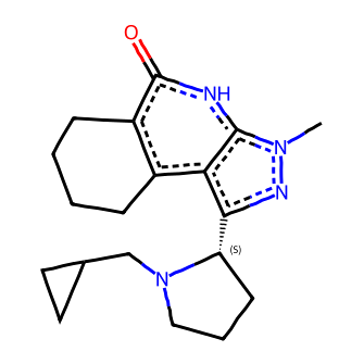 Cn1nc([C@@H]2CCCN2CC2CC2)c2c3c(c(=O)[nH]c21)CCCC3